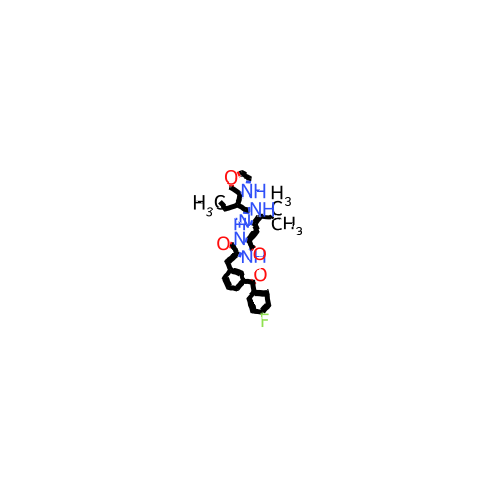 CCC(c1nc(/C=c2\[nH]c(=O)/c(=C/c3cccc(C(=O)c4ccc(F)cc4)c3)[nH]c2=O)c(C(C)C)[nH]1)C1COCCN1